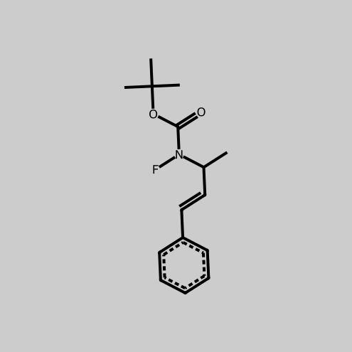 CC(C=Cc1ccccc1)N(F)C(=O)OC(C)(C)C